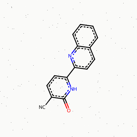 N#Cc1ccc(-c2ccc3ccccc3n2)[nH]c1=O